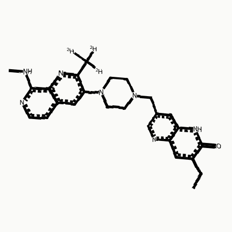 [2H]C([2H])([2H])c1nc2c(NC)nccc2cc1N1CCN(Cc2cnc3cc(CC)c(=O)[nH]c3c2)CC1